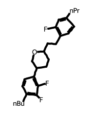 CCCCc1ccc(C2CCC(CCc3ccc(CCC)cc3F)OC2)c(F)c1F